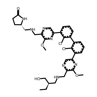 CC[C@@H](CO)CNCc1ncc(-c2cccc(-c3cccc(-c4cnc(CNC[C@@H]5CCC(=O)N5)c(OC)n4)c3Cl)c2Cl)nc1OC